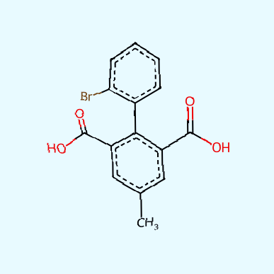 Cc1cc(C(=O)O)c(-c2ccccc2Br)c(C(=O)O)c1